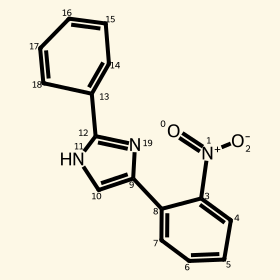 O=[N+]([O-])c1ccccc1-c1c[nH]c(-c2ccccc2)n1